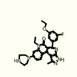 CCOc1cc(F)cc(-c2nc3[nH]nc(C)c3c3c2c(=O)n(CC)c2cc(N4CCNCC4)ccc32)c1